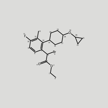 CCOC(=O)C(Br)c1ccc(F)c(C)c1C1CCC(OC2CC2)CC1